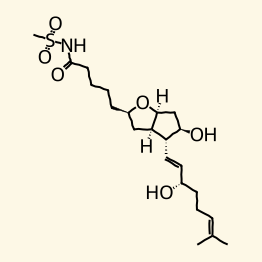 CC(C)=CCC[C@H](O)/C=C/[C@@H]1[C@H]2C[C@@H](CCCCC(=O)NS(C)(=O)=O)O[C@H]2C[C@H]1O